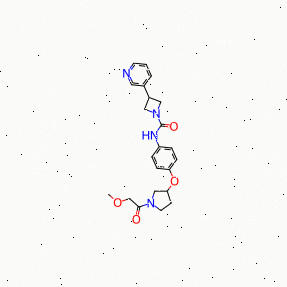 COCC(=O)N1CCC(Oc2ccc(NC(=O)N3CC(c4cccnc4)C3)cc2)C1